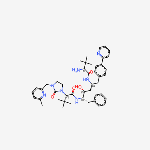 Cc1cccc(CN2CCN([C@H](C(=O)N[C@@H](Cc3ccccc3)[C@@H](O)C[C@H](Cc3ccc(-c4ccccn4)cc3)NC(=O)[C@@H](N)C(C)(C)C)C(C)(C)C)C2=O)n1